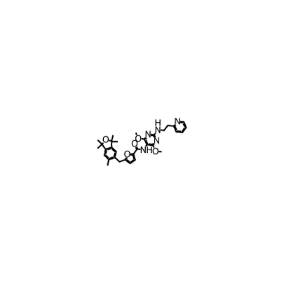 COc1nc(NCCc2ccccn2)nc(OC)c1NC(=O)c1ccc(Cc2cc3c(cc2C)C(C)(C)OC3(C)C)o1